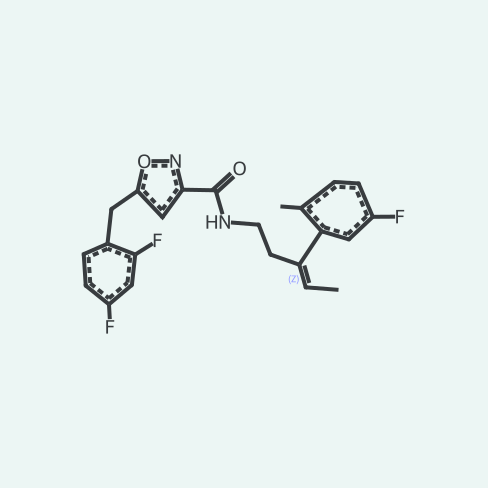 C/C=C(/CCNC(=O)c1cc(Cc2ccc(F)cc2F)on1)c1cc(F)ccc1C